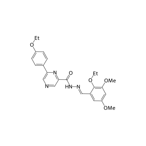 CCOc1ccc(-c2cncc(C(=O)NN=Cc3cc(OC)cc(OC)c3OCC)n2)cc1